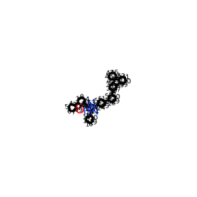 C1=CC2c3ccccc3OC2C(c2nc(-c3ccccc3)nc(-c3ccc(-c4cccc(-c5ccc6c(c5)-c5ccccc5C65CCCCC5)c4)cc3)n2)=C1